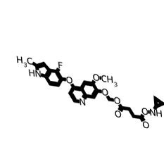 COc1cc2c(Oc3ccc4[nH]c(C)cc4c3F)ccnc2cc1OCOC(=O)CCC(=O)ONC1CC1